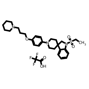 CCS(=O)(=O)N1CC2(CCN(c3ccc(OCCCN4CCCCC4)cc3)CC2)c2ccccc21.O=C(O)C(F)(F)F